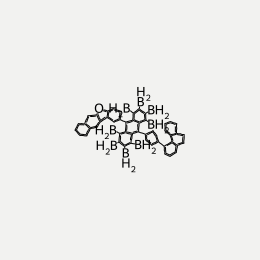 Bc1c(B)c(B)c2c(-c3ccc4oc5cc6ccccc6cc5c4c3)c3c(B)c(B)c(B)c(B)c3c(-c3ccc(-c4cccc5ccc6ccccc6c45)cc3)c2c1B